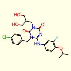 CC(C)Oc1ccc(Nc2nc(=O)n(CC(CO)CO)c(=O)n2Cc2ccc(Cl)cc2)cc1F